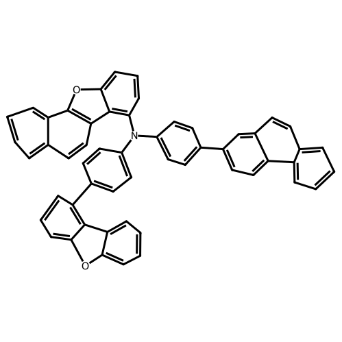 c1ccc2c(c1)ccc1cc(-c3ccc(N(c4ccc(-c5cccc6oc7ccccc7c56)cc4)c4cccc5oc6c7ccccc7ccc6c45)cc3)ccc12